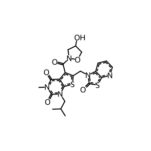 CC(C)Cn1c(=O)n(C)c(=O)c2c(C(=O)N3CC(O)CO3)c(Cn3c(=O)sc4ncccc43)sc21